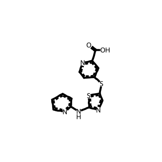 O=C(O)c1cc(Sc2cnc(Nc3ccccn3)s2)ccn1